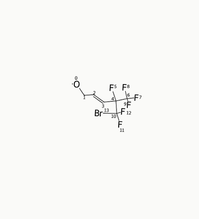 [O]CC=CC(F)(C(F)(F)F)C(F)(F)Br